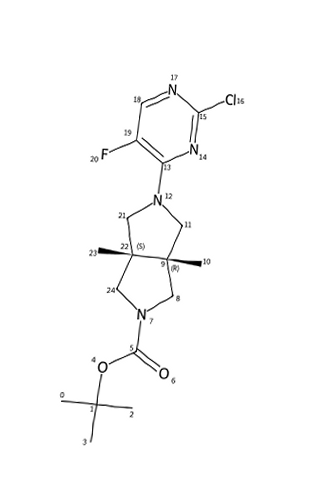 CC(C)(C)OC(=O)N1C[C@@]2(C)CN(c3nc(Cl)ncc3F)C[C@@]2(C)C1